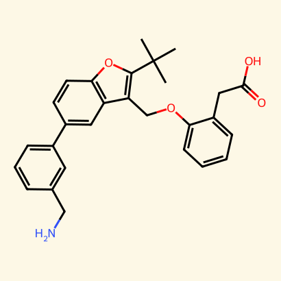 CC(C)(C)c1oc2ccc(-c3cccc(CN)c3)cc2c1COc1ccccc1CC(=O)O